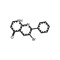 O=c1cc[nH]c2nc(-c3ccccc3)c(Br)cc12